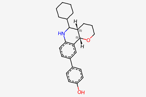 Oc1ccc(-c2ccc3c(c2)[C@H]2OCCC[C@H]2C(C2CCCCC2)N3)cc1